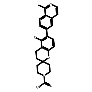 Cc1nccc2cc(-c3ccc4c(c3F)CCC3(CCN(C(N)=O)CC3)O4)ccc12